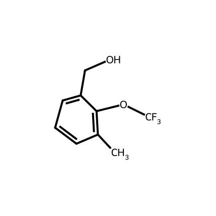 Cc1cccc(CO)c1OC(F)(F)F